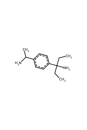 CCC(N)(CC)c1ccc(C(C)N)cc1